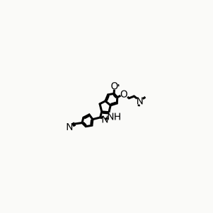 COc1cc2c(cc1OCCN(C)C)-c1[nH]nc(-c3ccc(C#N)cc3)c1C2